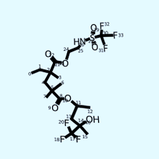 CCC(C)(CC(C)(C)C(=O)OC(C)CC(C)(O)C(F)(F)F)C(=O)OCCNS(=O)(=O)C(F)(F)F